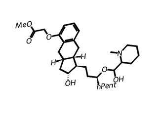 CCCCC[C@@H](CC[C@@H]1[C@H]2Cc3cccc(OCC(=O)OC)c3C[C@H]2C[C@H]1O)OC(O)C1CCCCN1C